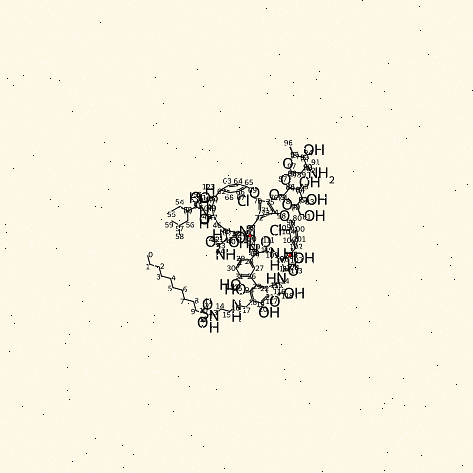 CCCCCCCCCCS(=O)(=O)NCCNCc1c(O)cc2c(c1O)-c1cc(ccc1O)[C@H]1CC(=O)[C@@H]3NC(=O)[C@H](CC(N)=O)CC(=O)[C@H](NC(=O)[C@H](CC)CC(C)C)[C@H](O)c4ccc(c(Cl)c4)Oc4cc3cc(c4O[C@@H]3O[C@H](CO)[C@@H](O)[C@H](O)[C@H]3O[C@H]3C[C@](C)(N)[C@H](O)[C@H](C)O3)Oc3ccc(cc3Cl)[C@@H](O)[C@H](NC1=O)C(=O)N[C@@H]2C(=O)O